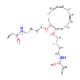 C=CC(=O)NCCCCOC1CCC=CCCC=CCCC1OCCCCNC(=O)C=C